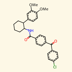 COc1ccc(C2CCCCC2NC(=O)c2ccc(C(=O)c3ccc(Cl)cc3)cc2)cc1OC